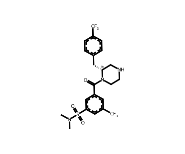 CN(C)S(=O)(=O)c1cc(C(=O)N2CCNC[C@H]2Cc2ccc(C(F)(F)F)cc2)cc(C(F)(F)F)c1